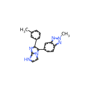 Cc1cccc(-c2nc3[nH]ccn3c2-c2ccc3nn(C)nc3c2)c1